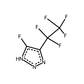 Fc1[nH]nnc1C(F)(F)C(F)(F)F